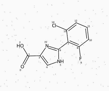 O=C(O)c1c[nH]c(-c2c(F)cccc2Cl)n1